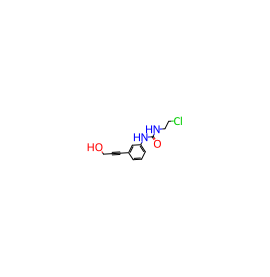 O=C(NCCCl)Nc1cccc(C#CCO)c1